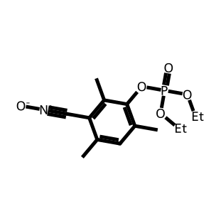 CCOP(=O)(OCC)Oc1c(C)cc(C)c(C#[N+][O-])c1C